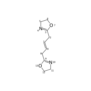 C(=CCC1=NCCO1)CC1=NCCO1